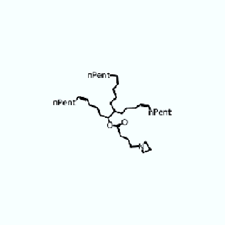 CCCCC/C=C\CCCC(CCC/C=C\CCCCC)C(CCC/C=C\CCCCC)OC(=O)CCCN1CCC1